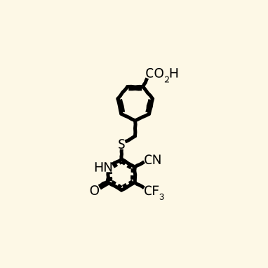 N#Cc1c(C(F)(F)F)cc(=O)[nH]c1SCC1C=CC=C(C(=O)O)C=C1